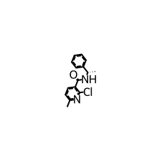 Cc1ccc(C(=O)N[C@@H](C)c2ccccc2)c(Cl)n1